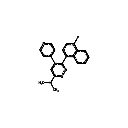 CN(C)c1cc(-c2ccncc2)c(-c2ccc(F)c3ccccc23)nn1